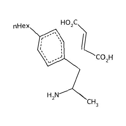 CCCCCCc1ccc(CC(C)N)cc1.O=C(O)/C=C/C(=O)O